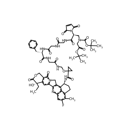 CC[C@@]1(O)C(=O)OCc2c1cc1n(c2=O)Cc2c-1nc1cc(F)c(C)c3c1c2[C@@H](NC(=O)C1(OCNC(=O)CNC(=O)[C@H](Cc2ccccc2)NC(=O)CNC(=O)CNC(=O)[C@H](CN(CC(=O)OC(C)(C)C)C(=O)OC(C)(C)C)N2C(=O)C=CC2=O)CC1)CC3